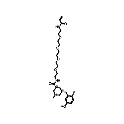 C=CC(=O)NCCOCCOCCOCCOCCNC(=O)[C@H]1C[C@@H](Cc2cc(OC)ccc2F)CN(C)C1